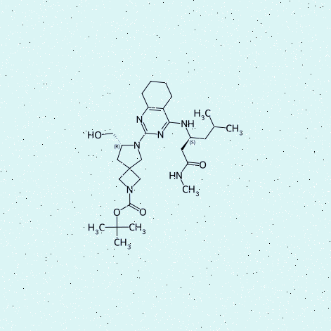 CNC(=O)C[C@H](CC(C)C)Nc1nc(N2CC3(C[C@@H]2CO)CN(C(=O)OC(C)(C)C)C3)nc2c1CCCC2